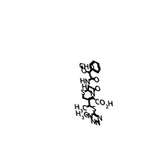 CC(Sc1nnnn1C)C1=C(C(=O)O)N2C(=O)[C@@H](NC(=O)C(OC=O)c3ccccc3)[C@@H]2SC1